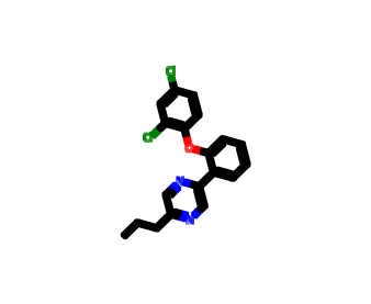 CCCc1cnc(-c2ccccc2Oc2ccc(Cl)cc2Cl)cn1